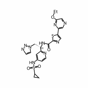 CCOc1cncc(-c2cnc(C(=O)N[C@@H](Cn3ccnn3)c3cc(NS(=O)(=O)C4CC4)ccn3)s2)n1